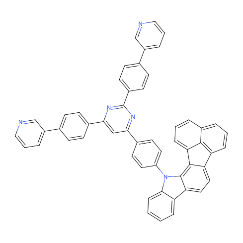 c1cncc(-c2ccc(-c3cc(-c4ccc(-n5c6ccccc6c6ccc7c(c65)-c5cccc6cccc-7c56)cc4)nc(-c4ccc(-c5cccnc5)cc4)n3)cc2)c1